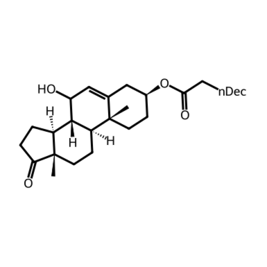 CCCCCCCCCCCC(=O)O[C@H]1CC[C@@]2(C)C(=CC(O)[C@@H]3[C@@H]2CC[C@]2(C)C(=O)CC[C@@H]32)C1